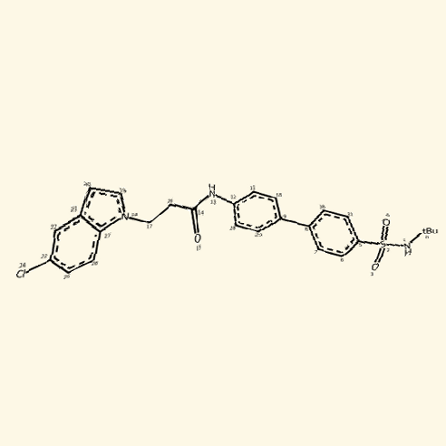 CC(C)(C)NS(=O)(=O)c1ccc(-c2ccc(NC(=O)CCn3ccc4cc(Cl)ccc43)cc2)cc1